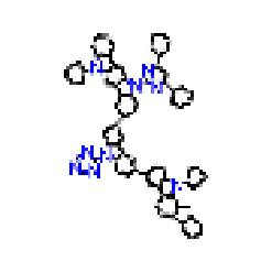 c1ccc(-c2cc(-c3ccccc3)nc(-n3c4ccc(-c5ccc6c(c5)c5cc(-c7ccc8c(c7)c7ccc9c(c7n8-c7ccccc7)Cc7ccccc7-9)ccc5n6-c5ncncn5)cc4c4cc5c(cc43)c3ccccc3n5-c3ccccc3)n2)cc1